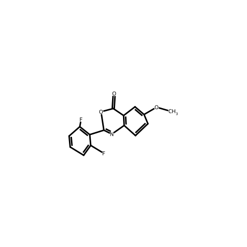 COc1ccc2nc(-c3c(F)cccc3F)oc(=O)c2c1